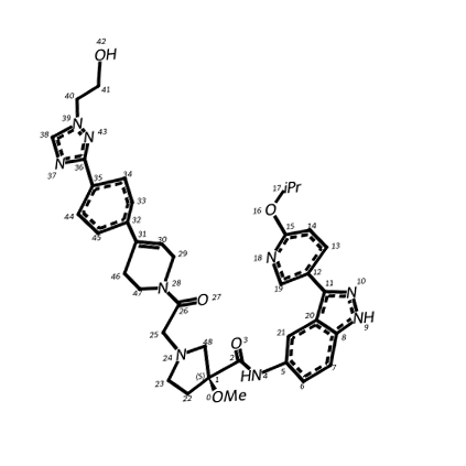 CO[C@@]1(C(=O)Nc2ccc3[nH]nc(-c4ccc(OC(C)C)nc4)c3c2)CCN(CC(=O)N2CC=C(c3ccc(-c4ncn(CCO)n4)cc3)CC2)C1